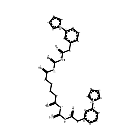 N=C(CCCCC(=N)SC(=N)NC(=O)Cc1cccc(-n2cccc2)c1)SC(=N)NC(=O)Cc1cccc(-n2cccc2)c1